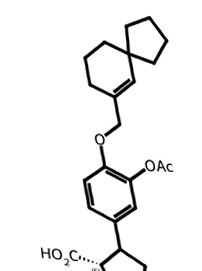 CC(=O)Oc1cc(C2CCN[C@@H]2C(=O)O)ccc1OCC1=CC2(CCCC2)CCC1